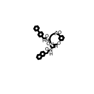 CN1CCC[C@H](NC(=O)Cc2ccc(-c3ccccc3)cc2)C(=O)N2C[C@@H](NC(=O)Cc3ccc4ccccc4c3)C[C@H]2COc2cccc(c2)C1=O